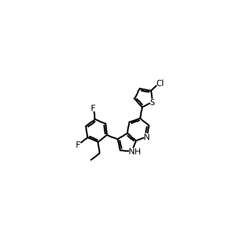 CCc1c(F)cc(F)cc1-c1c[nH]c2ncc(-c3ccc(Cl)s3)cc12